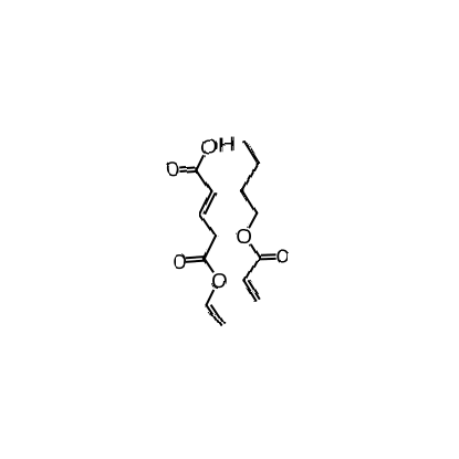 C=CC(=O)OCCCC.C=COC(=O)CC=CC(=O)O